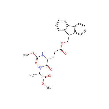 C[C@H](NC(=O)[C@@H](CCC(=O)OCC1c2ccccc2-c2ccccc21)NC(=O)OC(C)(C)C)C(=O)OC(C)(C)C